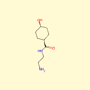 NCCNC(=O)[C@H]1CC[C@@H](O)CC1